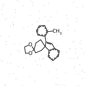 Cc1ccccc1C1=Cc2ccccc2C12CCC1(CC2)OCCO1